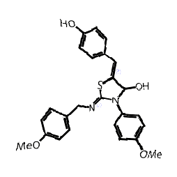 COc1ccc(C/N=C2\S/C(=C\c3ccc(O)cc3)C(O)N2c2ccc(OC)cc2)cc1